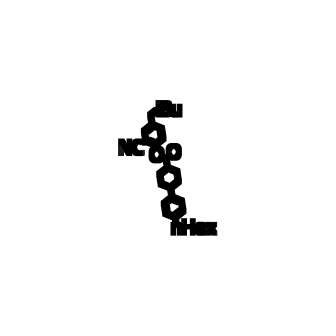 CCCCCCc1ccc(C2CCC(C(=O)Oc3ccc(CC(C)CC)cc3C#N)CC2)cc1